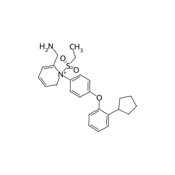 CCS(=O)(=O)[N+]1(c2ccc(Oc3ccccc3C3CCCC3)cc2)CC=CC=C1CN